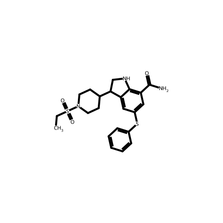 CCS(=O)(=O)N1CCC(C2CNc3c(C(N)=O)cc(Sc4ccccc4)cc32)CC1